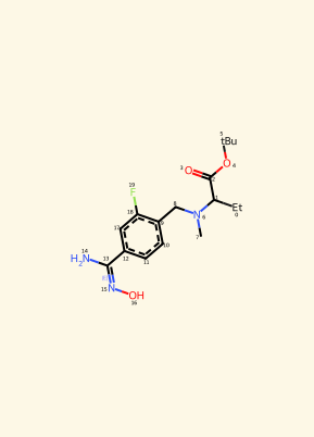 CCC(C(=O)OC(C)(C)C)N(C)Cc1ccc(/C(N)=N\O)cc1F